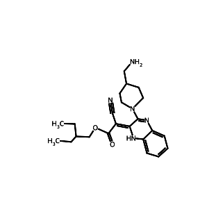 CCC(CC)COC(=O)C(C#N)=C1Nc2ccccc2N=C1N1CCC(CN)CC1